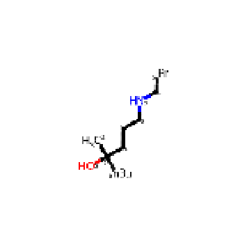 CCCCC(C)(O)CCCNCC(C)C